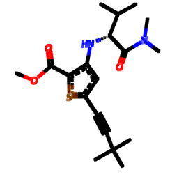 COC(=O)c1sc(C#CC(C)(C)C)cc1N[C@@H](C(=O)N(C)C)C(C)C